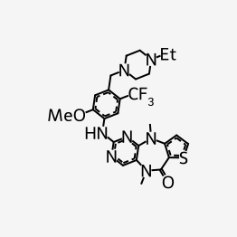 CCN1CCN(Cc2cc(OC)c(Nc3ncc4c(n3)N(C)c3ccsc3C(=O)N4C)cc2C(F)(F)F)CC1